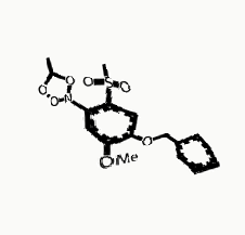 COc1cc(N2OOC(C)O2)c(S(C)(=O)=O)cc1OCc1ccccc1